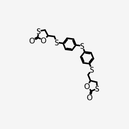 O=C1OC(CSc2ccc(Sc3ccc(SCC4CSC(=O)O4)cc3)cc2)CS1